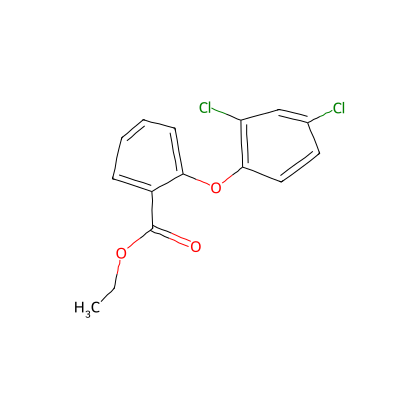 CCOC(=O)c1ccccc1Oc1ccc(Cl)cc1Cl